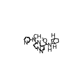 CN(c1cccnc1)c1ccn2ncc(C(=O)N[C@H]3C[C@@H]4CC[C@H]3C4)c2n1